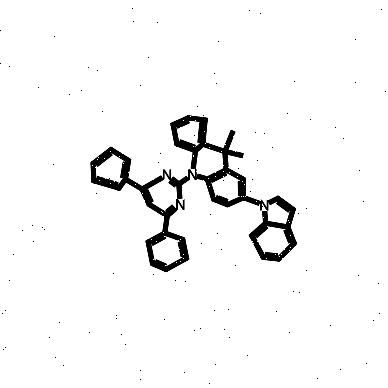 CC1(C)c2ccccc2N(c2nc(-c3ccccc3)cc(-c3ccccc3)n2)c2ccc(-n3ccc4ccccc43)cc21